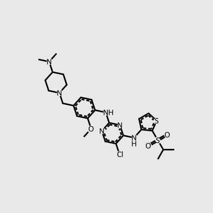 COc1cc(CN2CCC(N(C)C)CC2)ccc1Nc1ncc(Cl)c(Nc2ccsc2S(=O)(=O)C(C)C)n1